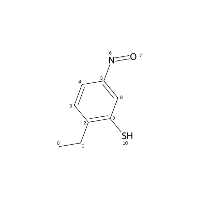 CCc1ccc(N=O)cc1S